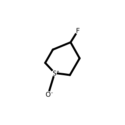 [O-][S+]1CCC(F)CC1